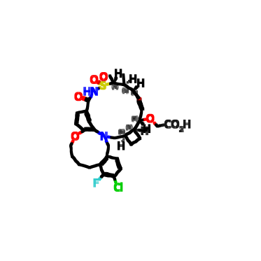 C[C@@H]1[C@@H](C)S(=O)(=O)NC(=O)c2ccc3c(c2)N(Cc2ccc(Cl)c(F)c2CCCCO3)C[C@@H]2CC[C@H]2[C@@H](OCC(=O)O)C2=C[C@H]1C2